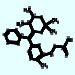 Cc1ccc(/C(=C2\CC(C)(C)CC(C)C2C)c2ccccc2)cc1OCC(=O)O